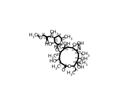 CC[C@H]1OC(=O)[C@H](C)[C@@H](O)[C@H](C)[C@@H](O[C@@H]2O[C@H](C)C[C@H](N(C)C(=O)COC)[C@H]2O)C(C)(O)C[C@@H](C)/C(=N\O)[C@H](C)[C@@H](O)[C@]1(C)O